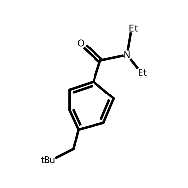 CCN(CC)C(=O)c1ccc(CC(C)(C)C)cc1